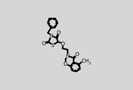 Cc1cccc2c1C(=O)N(CCOC1SC(=O)N(Cc3ccccc3)C1=O)CO2